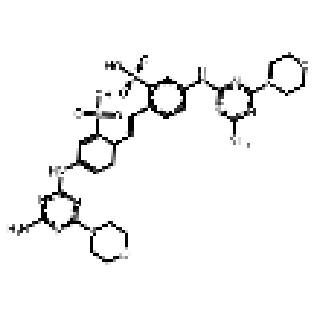 Nc1nc(NC2=CCC(/C=C/c3ccc(Nc4nc(N)nc(N5CCOCC5)n4)cc3S(=O)(=O)O)C(S(=O)(=O)O)=C2)nc(N2CCOCC2)n1